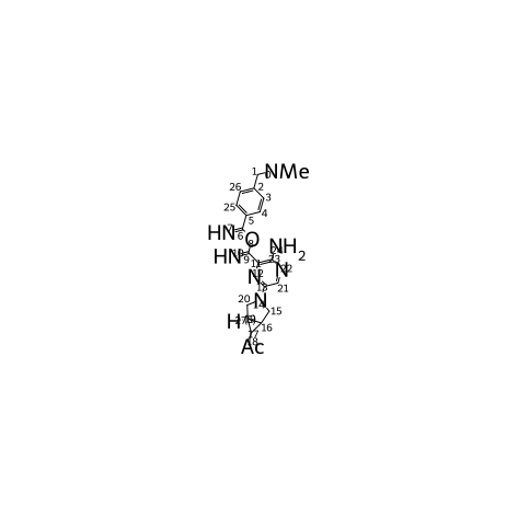 CNCc1ccc(C(=N)OC(=N)c2nc(N3CC4C(C(C)=O)[C@H]4C3)cnc2N)cc1